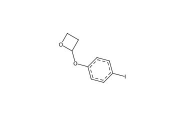 Ic1ccc(OC2CCO2)cc1